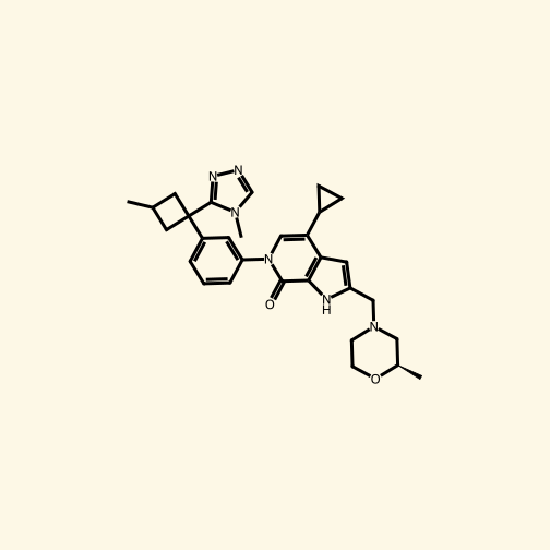 CC1CC(c2cccc(-n3cc(C4CC4)c4cc(CN5CCO[C@H](C)C5)[nH]c4c3=O)c2)(c2nncn2C)C1